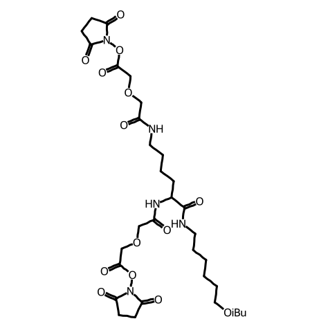 CC(C)COCCCCCCNC(=O)C(CCCCNC(=O)COCC(=O)ON1C(=O)CCC1=O)NC(=O)COCC(=O)ON1C(=O)CCC1=O